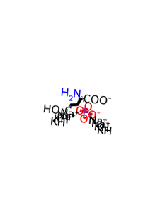 N[C@@H](CCC(=O)O)C(=O)[O-].O=P([O-])([O-])[O-].[KH].[KH].[KH].[KH].[Na+].[Na+].[Na+].[Na+]